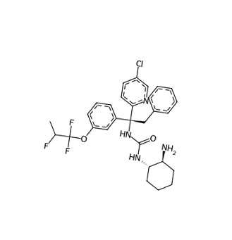 CC(F)C(F)(F)Oc1cccc([C@@](Cc2ccccc2)(NC(=O)N[C@H]2CCCC[C@@H]2N)c2ccc(Cl)cn2)c1